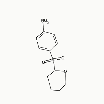 O=[N+]([O-])c1ccc(S(=O)(=O)C2CCCCO2)cc1